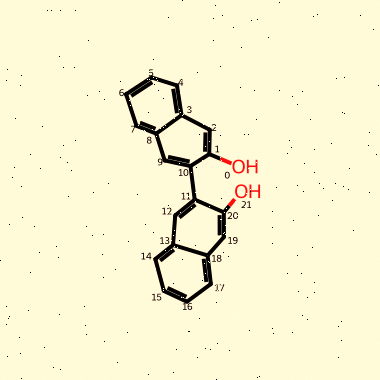 Oc1cc2ccccc2cc1-c1cc2ccccc2cc1O